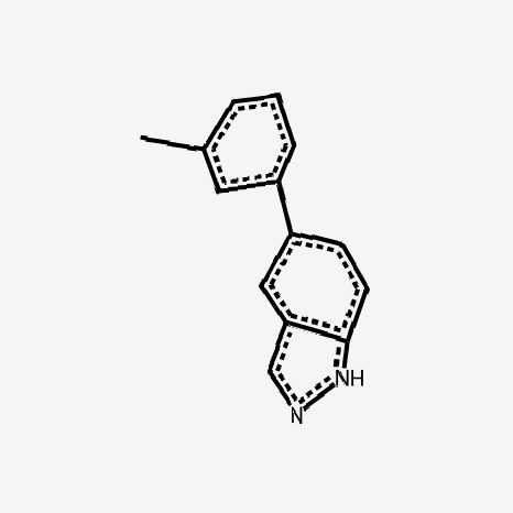 Cc1cccc(-c2ccc3[nH]ncc3c2)c1